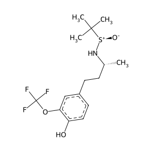 C[C@H](CCc1ccc(O)c(OC(F)(F)F)c1)N[S@+]([O-])C(C)(C)C